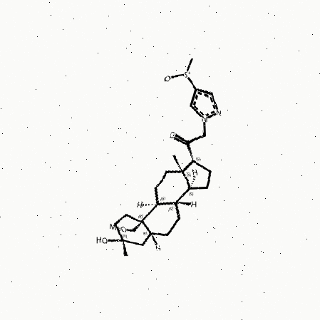 COC[C@]12CC[C@@](C)(O)C[C@H]1CC[C@H]1[C@@H]3CC[C@H](C(=O)Cn4cc([S+](C)[O-])cn4)[C@@]3(C)CC[C@@H]12